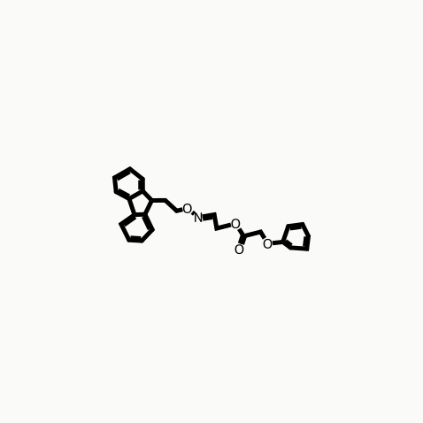 O=C(COc1ccccc1)OCC=NOCCC1c2ccccc2-c2ccccc21